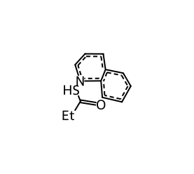 CCC(=O)S.c1ccc2ncccc2c1